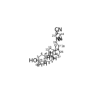 CC(C)[C@@]1(O)CC[C@@]2(C)[C@H](CC[C@@H]3[C@@H]2CC[C@]2(C)[C@@H]([C@@H](C)Cn4cc(C#N)cn4)CC[C@@H]32)C1